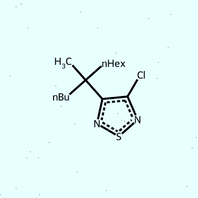 CCCCCCC(C)(CCCC)c1nsnc1Cl